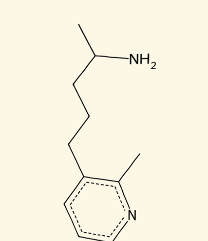 Cc1ncccc1CCCC(C)N